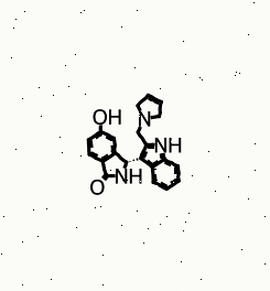 O=C1N[C@@H](c2c(CN3CC=CC3)[nH]c3ccccc23)c2cc(O)ccc21